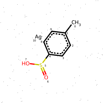 Cc1ccc(S(=O)O)cc1.[Ag]